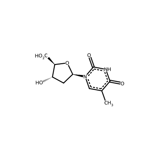 Cc1cn([C@H]2C[C@H](O)[C@@H](C(=O)O)O2)c(=O)[nH]c1=O